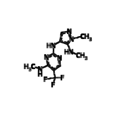 CNc1nc(Nc2cnn(C)c2NC)ncc1C(F)(F)F